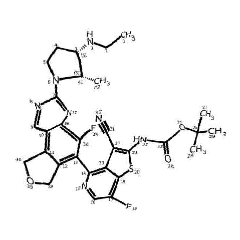 CCN[C@H]1CCN(c2ncc3c4c(c(-c5ncc(F)c6sc(NC(=O)OC(C)(C)C)c(C#N)c56)c(F)c3n2)COC4)[C@H]1C